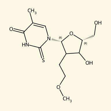 COCCC1C(O)[C@@H](CO)O[C@H]1n1cc(C)c(=O)[nH]c1=S